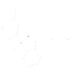 CCCCCN1C(=O)C2(COc3ccc(Br)cc32)c2ccccc21